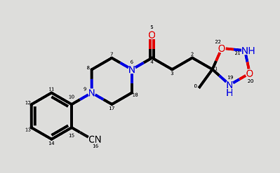 CC1(CCC(=O)N2CCN(c3ccccc3C#N)CC2)NONO1